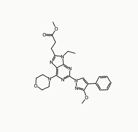 CCn1c(CCC(=O)OC)nc2c(N3CCOCC3)nc(-n3cc(-c4ccccc4)c(OC)n3)nc21